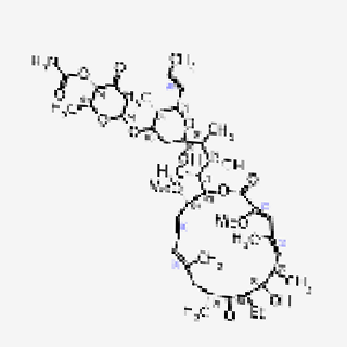 C/C=C/[C@H]1O[C@@](O)([C@@H](C)[C@H](O)[C@H](C)[C@H]2OC(=O)/C(OC)=C/C(C)=C/[C@@H](C)[C@@H](O)[C@@H](CC)C(=O)[C@H](C)C/C(C)=C/C=C/[C@@H]2OC)C[C@@H](O[C@@H]2CC(=O)[C@@H](OC(N)=O)[C@H](C)O2)[C@@H]1C